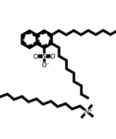 CCCCCCCCCCCC[N+](C)(C)C.CCCCCCCCCc1cc2ccccc2c(S(=O)(=O)[O-])c1CCCCCCCCC